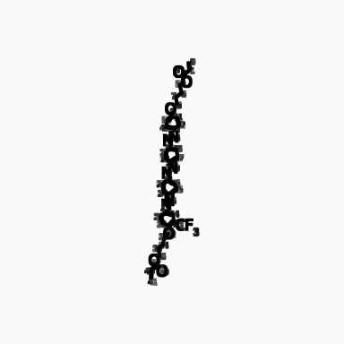 C=CC(=O)OCCCCOc1ccc(N=Nc2ccc(N=Nc3ccc(N=Nc4ccc(OCCCCOC(=O)C=C)c(C(F)(F)F)c4)cc3)cc2)cc1